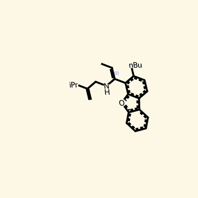 C=C(CN/C(=C\C)c1c(CCCC)ccc2c1oc1ccccc12)C(C)C